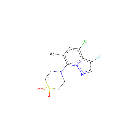 CC(=O)c1cc(Cl)c2c(F)cnn2c1N1CCS(=O)(=O)CC1